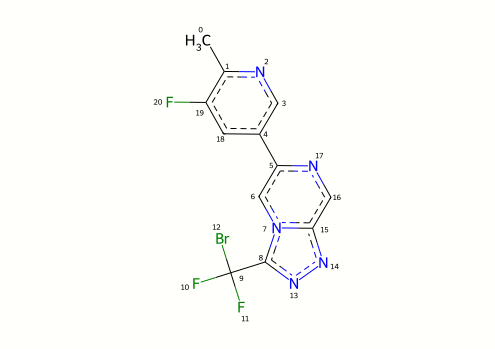 Cc1ncc(-c2cn3c(C(F)(F)Br)nnc3cn2)cc1F